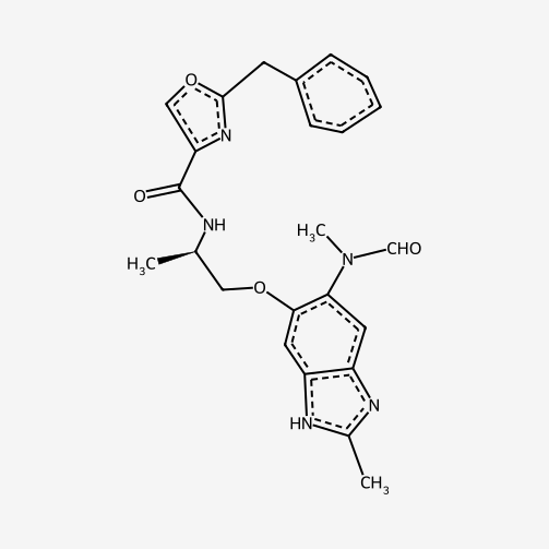 Cc1nc2cc(N(C)C=O)c(OC[C@@H](C)NC(=O)c3coc(Cc4ccccc4)n3)cc2[nH]1